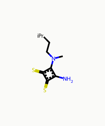 CC(C)CCN(C)c1c(N)c(=S)c1=S